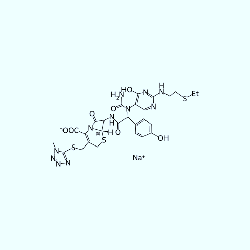 CCSCCNc1ncc(N(C(N)=O)C(C(=O)NC2C(=O)N3C(C(=O)[O-])=C(CSc4nnnn4C)CS[C@@H]23)c2ccc(O)cc2)c(O)n1.[Na+]